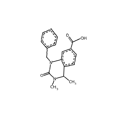 CC1c2ccc(C(=O)O)cc2N(Cc2ccccc2)C(=O)N1C